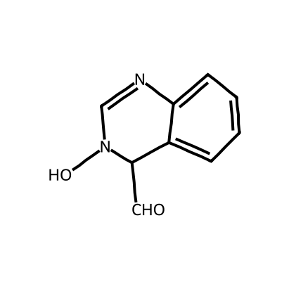 O=CC1c2ccccc2N=CN1O